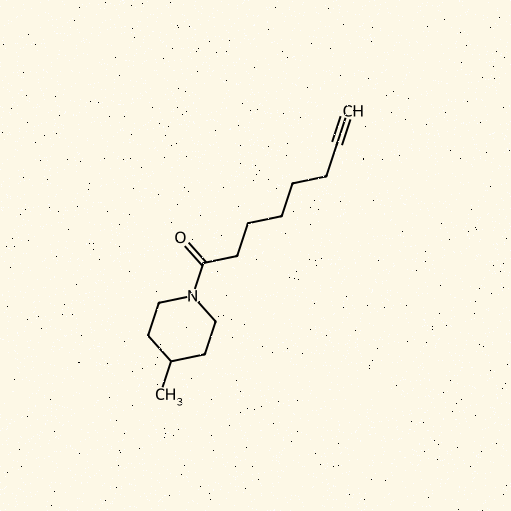 C#CCCCCCC(=O)N1CCC(C)CC1